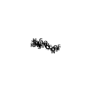 CCC(C(=O)Nc1ccc(-c2cncc(OC(F)F)c2)cn1)c1csc(NS(=O)(=O)C2CC2)n1